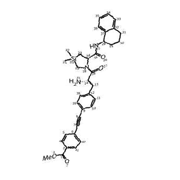 COC(=O)c1ccc(C#Cc2ccc(C[C@H](N)C(=O)N3C[Si](C)(C)C[C@H]3C(=O)N[C@@H]3CCCc4ccccc43)cc2)cc1